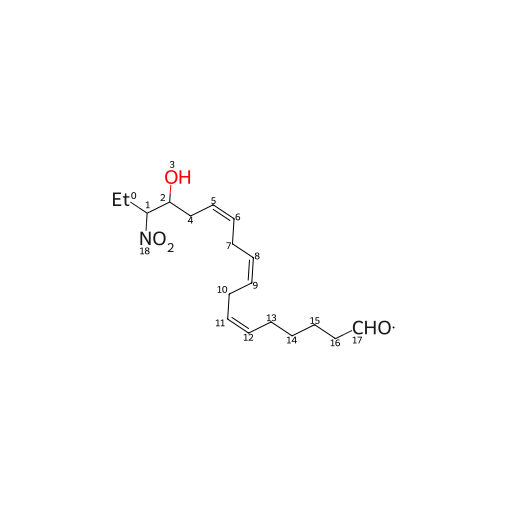 CCC(C(O)C/C=C\C/C=C\C/C=C\CCCC[C]=O)[N+](=O)[O-]